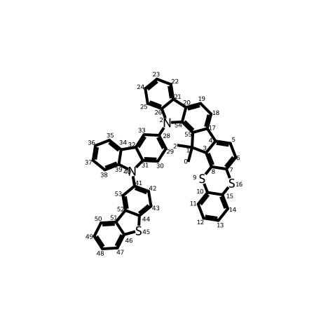 CC1(C)c2c(ccc3c2Sc2ccccc2S3)-c2ccc3c4ccccc4n(-c4ccc5c(c4)c4ccccc4n5-c4ccc5sc6ccccc6c5c4)c3c21